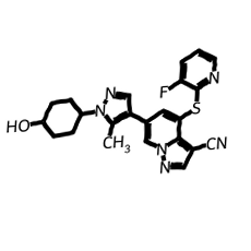 Cc1c(-c2cc(Sc3ncccc3F)c3c(C#N)cnn3c2)cnn1C1CCC(O)CC1